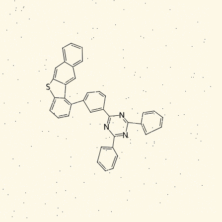 c1ccc(-c2nc(-c3ccccc3)nc(-c3cccc(-c4cccc5sc6cc7ccccc7cc6c45)c3)n2)cc1